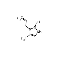 C=CCN1C(C)=CNN1S